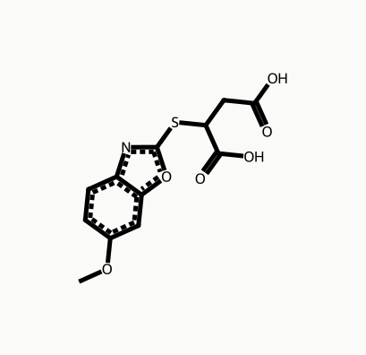 COc1ccc2nc(SC(CC(=O)O)C(=O)O)oc2c1